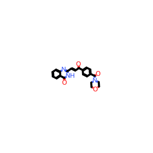 O=C(/C=C/c1nc2ccccc2c(=O)[nH]1)c1ccc(C(=O)N2CCOCC2)cc1